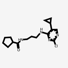 O=C(NCCCNc1nc(Cl)ncc1C1CC1)C1CCCC1